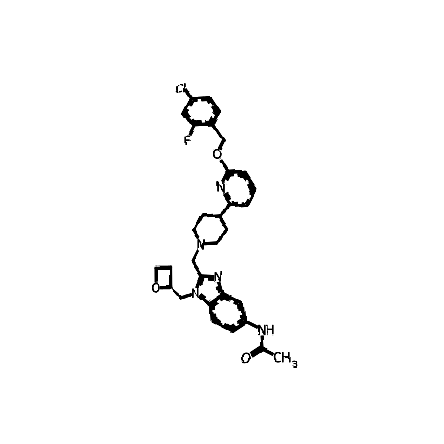 CC(=O)Nc1ccc2c(c1)nc(CN1CCC(c3cccc(OCc4ccc(Cl)cc4F)n3)CC1)n2C[C@@H]1CCO1